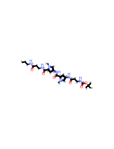 CCCNC(=O)CCNC(=O)c1cc(NC(=O)c2cc(NC(=O)CCNC(=O)OC(C)(C)C)cn2C)cn1C